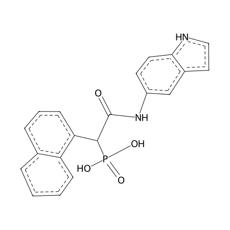 O=C(Nc1ccc2[nH]ccc2c1)C(c1cccc2ccccc12)P(=O)(O)O